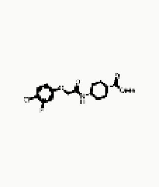 COC(=O)[C@H]1CC[C@H](NC(=O)COc2ccc(Cl)c(F)c2)CC1